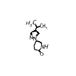 CC(C)c1cnn([C@@H]2CCC(=O)NC2)c1